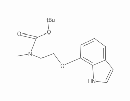 CN(CCOc1cccc2cc[nH]c12)C(=O)OC(C)(C)C